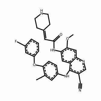 COc1cc2ncc(C#N)c(Nc3ccc(Oc4cccc(F)c4)c(C)c3)c2cc1NC(=O)C=C1CCNCC1